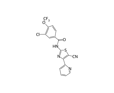 N#Cc1sc(NC(=O)c2ccc(OC(F)(F)F)c(Cl)c2)nc1-c1ccccn1